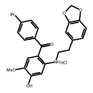 COc1cc(C(=O)c2ccc(C(C)C)cc2)c(NCCc2ccc3c(c2)OCO3)cc1O.Cl